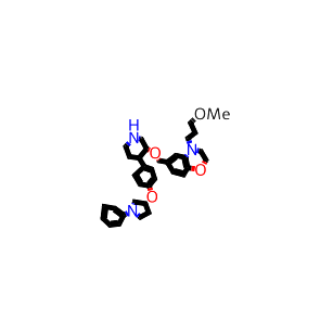 COCCCN1CCOc2ccc(COC3CNCCC3c3ccc(O[C@H]4CCN(c5ccccc5)C4)cc3)cc21